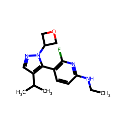 CCNc1ccc(-c2c(C(C)C)cnn2C2COC2)c(F)n1